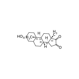 C[C@]12CC[C@@H](O)CC1CC[C@@H]1[C@@H]2CC[C@]2(C)C(=O)C(=O)C[C@@H]12